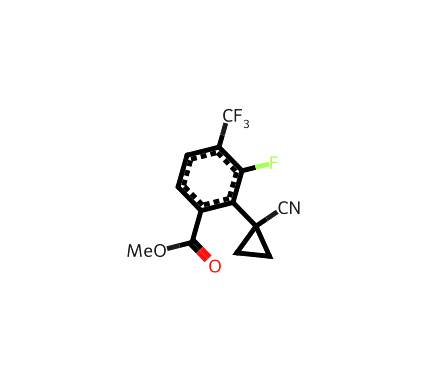 COC(=O)c1ccc(C(F)(F)F)c(F)c1C1(C#N)CC1